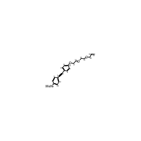 CNc1ccc(C#Cc2ccc(OCCOCCOCC[18F])cc2)cc1